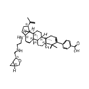 C=C(C)[C@@H]1CC[C@]2(NCCNC[C@H]3OC[C@@H]4CC43)CC[C@]3(C)[C@H](CC[C@@H]4[C@@]5(C)CC=C(c6ccc(C(=O)O)cc6)C(C)(C)[C@@H]5CC[C@]43C)[C@@H]12